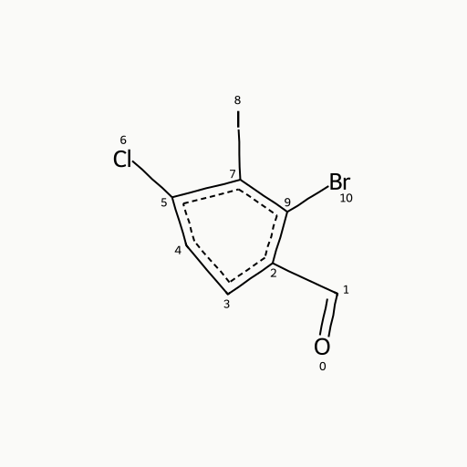 O=Cc1ccc(Cl)c(I)c1Br